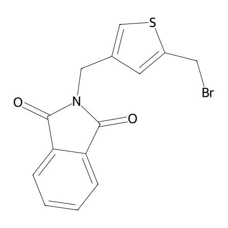 O=C1c2ccccc2C(=O)N1Cc1csc(CBr)c1